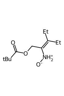 CCC(CC)=C(COC(=O)C(C)(C)C)[NH2+][O-]